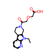 CCn1c2c(c3cccnc31)CCN(C(=O)COCC(=O)O)C2